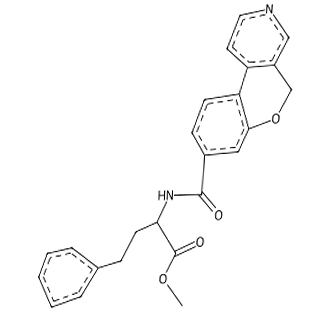 COC(=O)C(CCc1ccccc1)NC(=O)c1ccc2c(c1)OCc1cnccc1-2